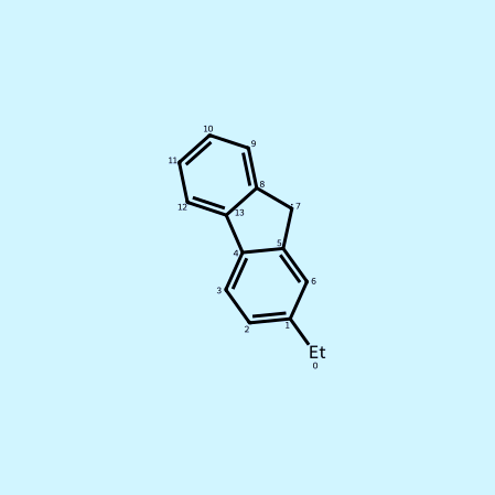 CCc1ccc2c(c1)[CH]c1ccccc1-2